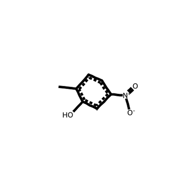 Cc1ccc([N+](=O)[O-])[c]c1O